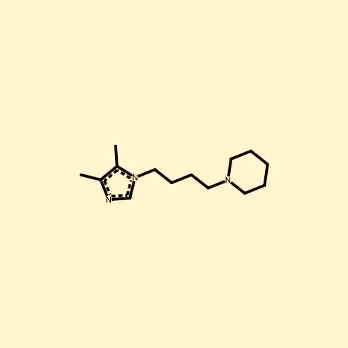 Cc1n[c]n(CCCCN2CCCCC2)c1C